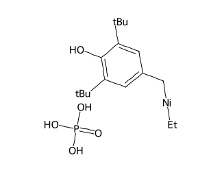 C[CH2][Ni][CH2]c1cc(C(C)(C)C)c(O)c(C(C)(C)C)c1.O=P(O)(O)O